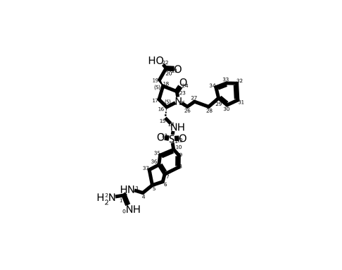 N=C(N)NCC1Cc2ccc(S(=O)(=O)NC[C@@H]3C[C@@H](CC(=O)O)C(=O)N3CCCc3ccccc3)cc2C1